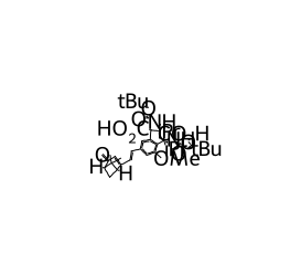 COc1cc(/C=C/C2=CC(=O)[C@H]3C[C@@H]2C3(C)C)cc(C(NC(=O)OC(C)(C)C)(C(=O)O)C(C)C)c1C(NC(=O)OC(C)(C)C)(C(=O)O)C(C)C